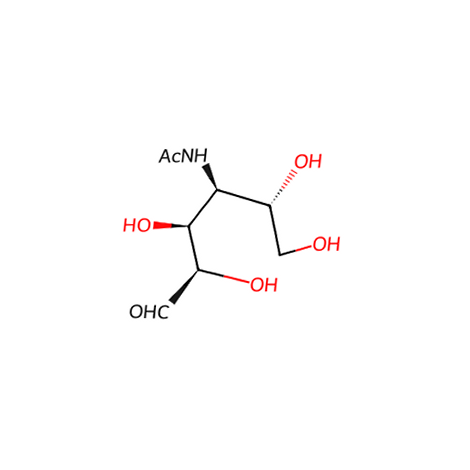 CC(=O)N[C@H]([C@H](O)[C@@H](O)C=O)[C@H](O)CO